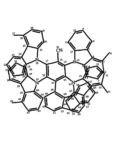 Cc1cccc2c1c1ccccc1n2-c1c(C#N)c(-n2c3ccccc3c3c(C)cccc32)c(-n2c3ccccc3c3c(C)cccc32)c(-c2cccc3sc4ccncc4c23)c1-n1c2ccccc2c2c(C)cccc21